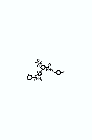 CN(c1cc(C(=O)NCCc2ccc(F)cc2)cc(-c2ccc(CC(C)(N)c3ccccc3)o2)c1)S(C)(=O)=O